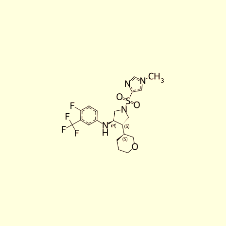 Cn1cnc(S(=O)(=O)N2C[C@H]([C@@H]3CCCOC3)[C@@H](Nc3ccc(F)c(C(F)(F)F)c3)C2)c1